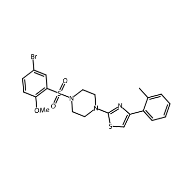 COc1ccc(Br)cc1S(=O)(=O)N1CCN(c2nc(-c3ccccc3C)cs2)CC1